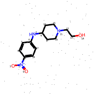 O=[N+]([O-])c1ccc(NC2CCN(CCO)CC2)cc1